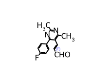 Cc1nc(C)c(/C=C/C=O)c(-c2ccc(F)cc2)n1